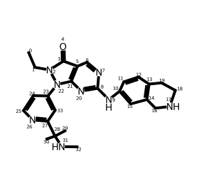 CCn1c(=O)c2cnc(Nc3ccc4c(c3)CNCC4)nc2n1-c1ccnc(C(C)(C)NC)c1